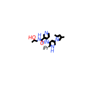 Cc1cc(C)n(C2=CC(Nc3ccncc3C(=O)NCC(C)O)=C(C(C)C)NC2)c1